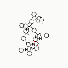 CC1(C)c2ccccc2-c2cc3c4ccccc4n(-c4ccc(-c5nc(-c6ccccc6)nc(-c6ccccc6)n5)cc4-c4nc(-c5ccccc5)nc(-c5cccc(-c6cc7c8c(c6)N(c6ccccc6)c6ccccc6B8c6ccccc6N7c6ccccc6)c5)n4)c3cc21